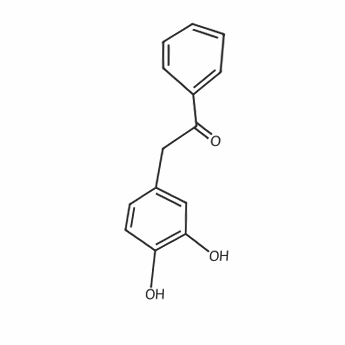 O=C(Cc1ccc(O)c(O)c1)c1ccccc1